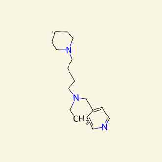 CCN(CCCCN1CC[CH]CC1)Cc1ccncc1